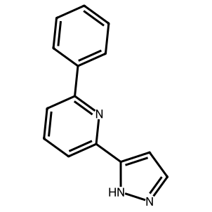 c1ccc(-c2cccc(-c3ccn[nH]3)n2)cc1